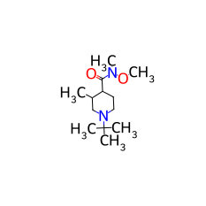 CON(C)C(=O)C1CCN(C(C)(C)C)CC1C